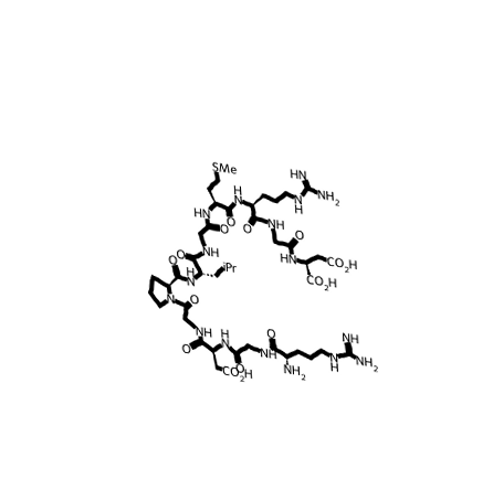 CSCC[C@H](NC(=O)CNC(=O)[C@H](CC(C)C)NC(=O)[C@@H]1CCCN1C(=O)CNC(=O)[C@H](CC(=O)O)NC(=O)CNC(=O)[C@@H](N)CCCNC(=N)N)C(=O)N[C@@H](CCCNC(=N)N)C(=O)NCC(=O)N[C@@H](CC(=O)O)C(=O)O